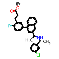 CC(C)OC(=O)CCc1cc(-c2cc(C(C)N[C@H](C)c3cccc(Cl)c3)cc3ccccc23)ccc1F